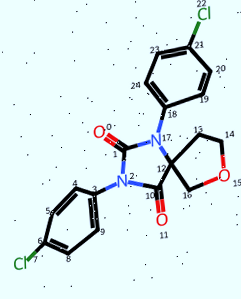 O=C1N(c2ccc(Cl)cc2)C(=O)C2(CCOC2)N1c1ccc(Cl)cc1